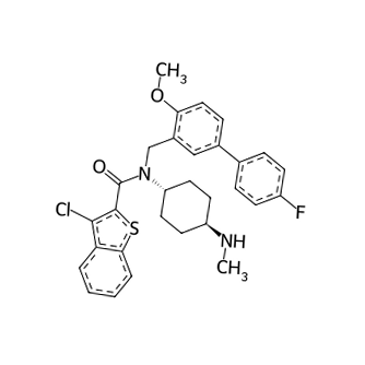 CN[C@H]1CC[C@H](N(Cc2cc(-c3ccc(F)cc3)ccc2OC)C(=O)c2sc3ccccc3c2Cl)CC1